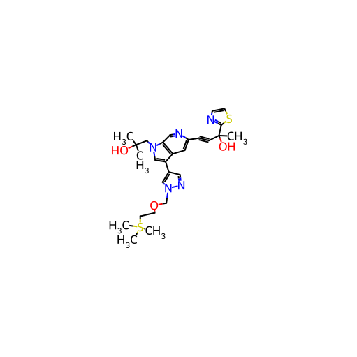 CC(C)(O)Cn1cc(-c2cnn(COCCS(C)(C)C)c2)c2cc(C#CC(C)(O)c3nccs3)ncc21